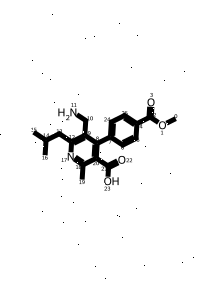 COC(=O)c1ccc(-c2c(CN)c(CC(C)C)nc(C)c2C(=O)O)cc1